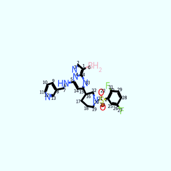 Bc1cnn2c(NCc3cccnc3)cc(C3CCCN(S(=O)(=O)c4cc(F)ccc4F)C3)nc12